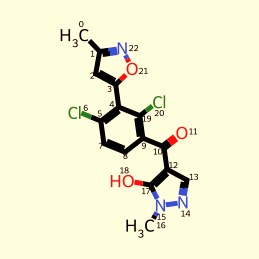 Cc1cc(-c2c(Cl)ccc(C(=O)c3cnn(C)c3O)c2Cl)on1